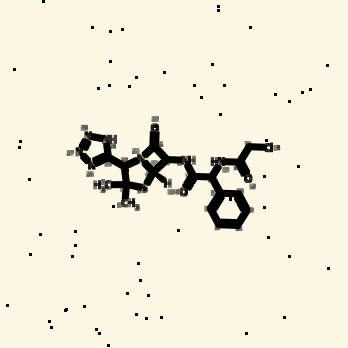 CC1(C)S[C@H]2C(NC(=O)C(NC(=O)CCl)c3ccccc3)C(=O)N2C1c1nnn[nH]1